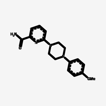 COc1ccc(N2CCN(c3cc[c]c(C(N)=O)n3)CC2)cc1